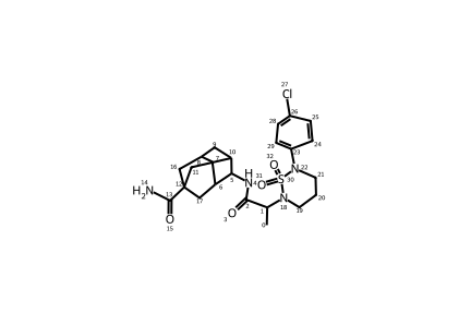 CC(C(=O)NC1C2CC3CC1CC(C(N)=O)(C3)C2)N1CCCN(c2ccc(Cl)cc2)S1(=O)=O